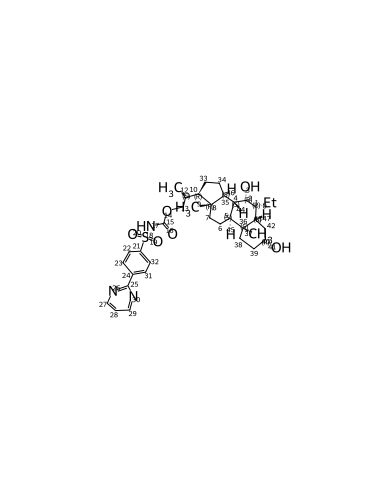 CC[C@H]1[C@@H](O)[C@@H]2[C@H](CC[C@]3(C)[C@@H]([C@H](C)COC(=O)NS(=O)(=O)c4ccc(-c5ncccn5)cc4)CC[C@@H]23)[C@@]2(C)CC[C@@H](O)C[C@@H]12